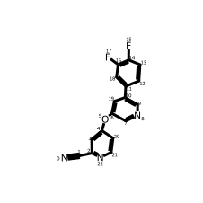 N#Cc1cc(Oc2cncc(-c3ccc(F)c(F)c3)c2)ccn1